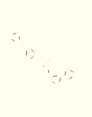 O=C(C=Cc1cccc(-c2ccc(Cl)cc2)c1)N[C@@H](Cc1ccc(OCc2ccccc2)cc1)C(=O)O